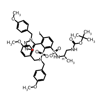 COc1ccc(CN(Cc2ccc(OC)cc2)S(=O)(=O)c2c(S(=O)(=O)N[C@H](C)CNC(=O)OC(C)(C)C)ccc(I)c2-c2nnnn2Cc2ccc(OC)cc2)cc1